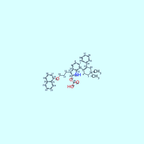 CC1(C)CCC(c2cccc3c(CCCOc4cccc5ccccc45)c(OC(=O)O)[nH]c23)=C(c2ccccc2)C1